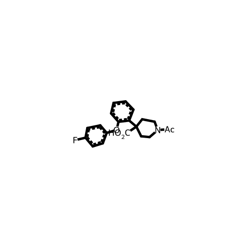 CC(=O)N1CCC(C(=O)O)(c2ccccc2Oc2ccc(F)cc2)CC1